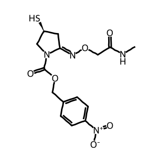 CNC(=O)CON=C1C[C@H](S)CN1C(=O)OCc1ccc([N+](=O)[O-])cc1